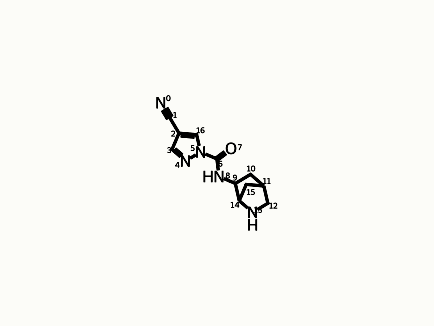 N#Cc1cnn(C(=O)NC2CC3CNC2C3)c1